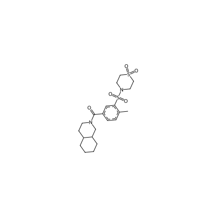 Cc1ccc(C(=O)N2CCC3CCCCC3C2)cc1S(=O)(=O)N1CCS(=O)(=O)CC1